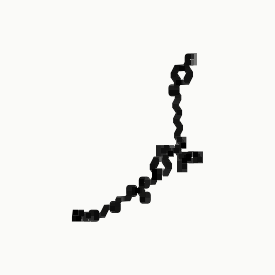 COCCOCCOC(=O)OC[n+]1ccc(N/C(=N\CCCCCCOc2ccc(Cl)cc2)NC#N)cc1